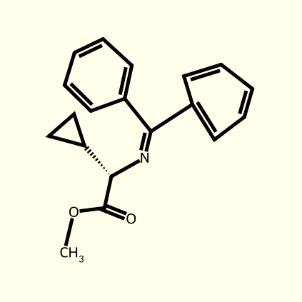 COC(=O)[C@@H](N=C(c1ccccc1)c1ccccc1)C1CC1